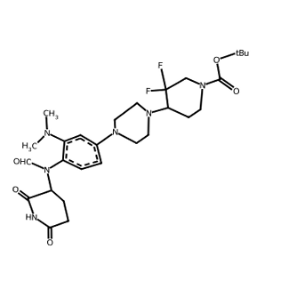 CN(C)c1cc(N2CCN(C3CCN(C(=O)OC(C)(C)C)CC3(F)F)CC2)ccc1N(C=O)C1CCC(=O)NC1=O